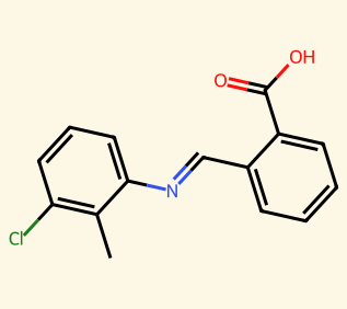 Cc1c(Cl)cccc1N=Cc1ccccc1C(=O)O